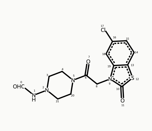 O=CNN1CCN(C(=O)Cn2c(=O)sc3ccc(Cl)cc32)CC1